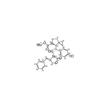 CC(C)(C)OC(=O)N1CCC2(CC2)[C@H]1[C@@H](C(=O)N1C(=O)OC[C@H]1Cc1ccccc1)c1ccc(Cl)cc1